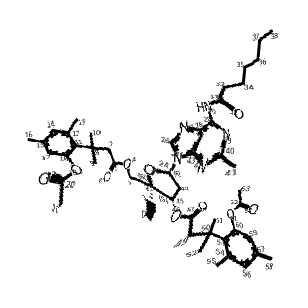 C#C[C@]1(COC(=O)CC(C)(C)c2c(C)cc(C)cc2OC(C)=O)O[C@@H](n2cnc3c(NC(=O)CCCCCC)nc(C)nc32)C[C@@H]1OC(=O)CC(C)(C)c1c(C)cc(C)cc1OC(C)=O